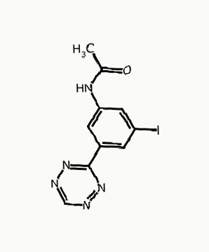 CC(=O)Nc1cc(I)cc(-c2nncnn2)c1